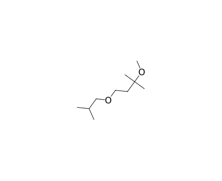 COC(C)(C)CCOCC(C)C